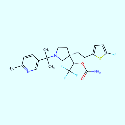 Cc1ccc(C(C)(C)N2CC[C@@](CCc3ccc(F)s3)([C@H](OC(N)=O)C(F)(F)F)C2)cn1